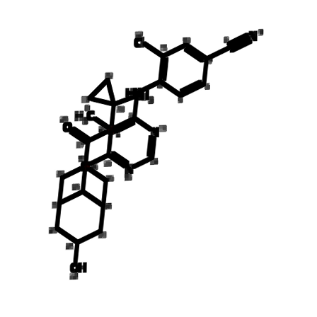 Cc1c(Nc2ccc(C#N)cc2Cl)ncnc1OC1C2CC(O)CC1CN(C(=O)OC1(C)CC1)C2